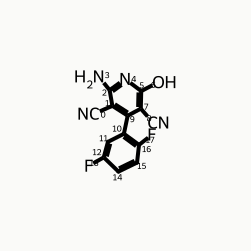 N#Cc1c(N)nc(O)c(C#N)c1-c1cc(F)ccc1F